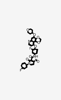 O=Nc1ccn(C2=CC=C(F)CC=C2)c(=O)c1C(=O)Nc1ccc(Oc2ccnc3cc(OC4CCOCC4)c4c(c23)OCCO4)c(F)c1